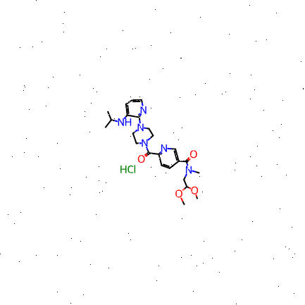 COC(CN(C)C(=O)c1ccc(C(=O)N2CCN(c3ncccc3NC(C)C)CC2)nc1)OC.Cl